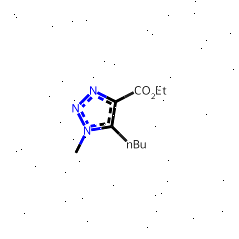 CCCCc1c(C(=O)OCC)nnn1C